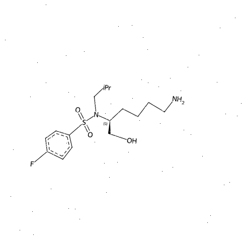 CC(C)CN([C@H](CO)CCCCN)S(=O)(=O)c1ccc(F)cc1